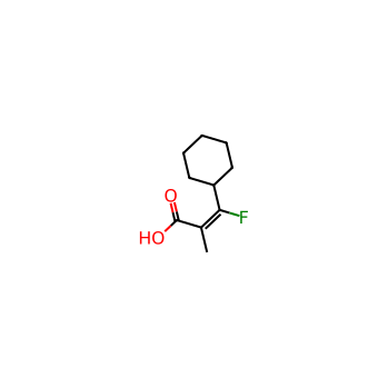 CC(C(=O)O)=C(F)C1CCCCC1